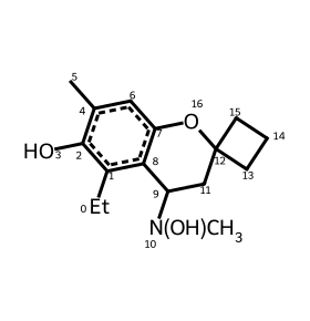 CCc1c(O)c(C)cc2c1C(N(C)O)CC1(CCC1)O2